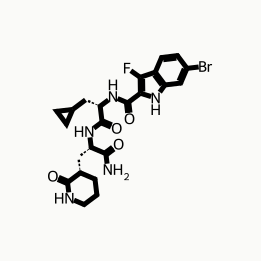 NC(=O)[C@H](C[C@@H]1CCCNC1=O)NC(=O)[C@H](CC1CC1)NC(=O)c1[nH]c2cc(Br)ccc2c1F